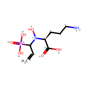 C=CC(N(O)[C@@H](CCCN)C(=O)O)P(=O)(O)O